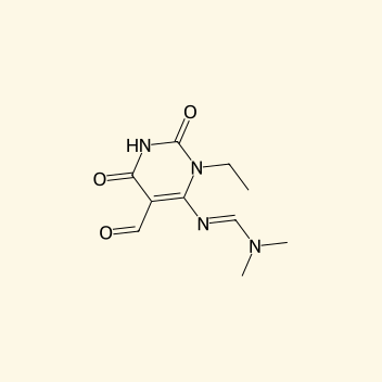 CCn1c(N=CN(C)C)c(C=O)c(=O)[nH]c1=O